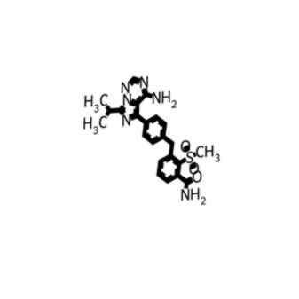 CC(C)c1nc(-c2ccc(Cc3cccc(C(N)=O)c3S(C)(=O)=O)cc2)c2c(N)ncnn12